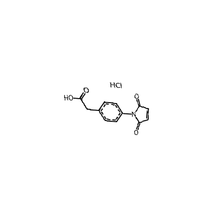 Cl.O=C(O)Cc1ccc(N2C(=O)C=CC2=O)cc1